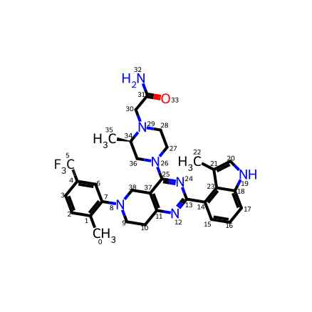 Cc1ccc(C(F)(F)F)cc1N1CCc2nc(-c3cccc4[nH]cc(C)c34)nc(N3CCN(CC(N)=O)[C@H](C)C3)c2C1